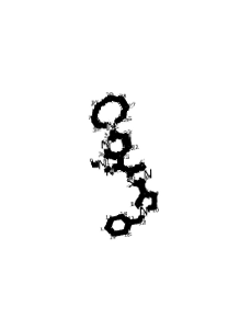 Cn1nc(-c2cnc(C3CCN(CC4CCCCC4)C3)s2)c2ccc(N3CCCCCCC3)nc21